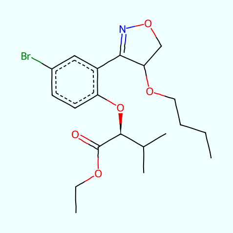 CCCCOC1CON=C1c1cc(Br)ccc1O[C@H](C(=O)OCC)C(C)C